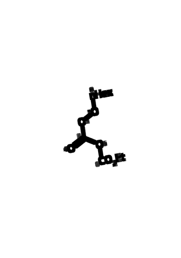 CCCCCCOOC(=O)OC(=O)OCC